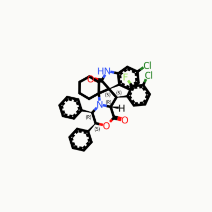 O=C1O[C@@H](c2ccccc2)[C@@H](c2ccccc2)N2[C@@H]1[C@H](c1cccc(Cl)c1F)[C@@]1(C(=O)Nc3cc(Cl)ccc31)C21CCCCC1